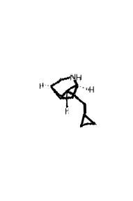 [CH]1N[C@H]2CC[C@@H]1C[C@H]2CC1CC1